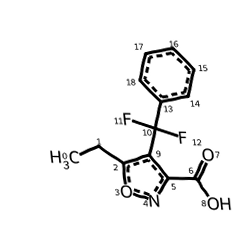 CCc1onc(C(=O)O)c1C(F)(F)c1ccccc1